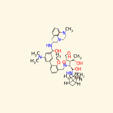 COc1c(CN2O[C@@H](CO)[C@@H]([C@H](C)O)[C@H]2C(O)N[C@H]2C[C@H]3C[C@@H]([C@@H]2C)C3(C)C)cccc1-c1cc(C(O)N[C@H](Cc2ccccc2)CN2CCN(C)CC2)cc(N(C)C)c1